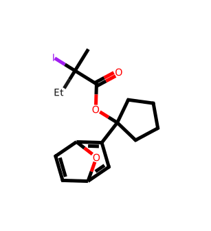 CCC(C)(I)C(=O)OC1(c2cc3ccc2o3)CCCC1